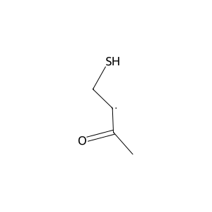 CC(=O)[CH]CS